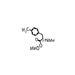 CN[C@@H](Cc1ccc(C)cc1)C(=O)OOC